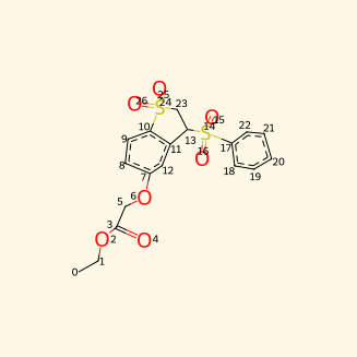 CCOC(=O)COc1ccc2c(c1)C(S(=O)(=O)c1ccccc1)CS2(=O)=O